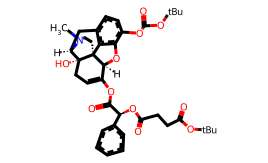 CN1CC[C@]23c4c5ccc(OC(=O)OC(C)(C)C)c4O[C@H]2C(OC(=O)[C@@H](OC(=O)CCC(=O)OC(C)(C)C)c2ccccc2)=CC[C@@]3(O)[C@H]1C5